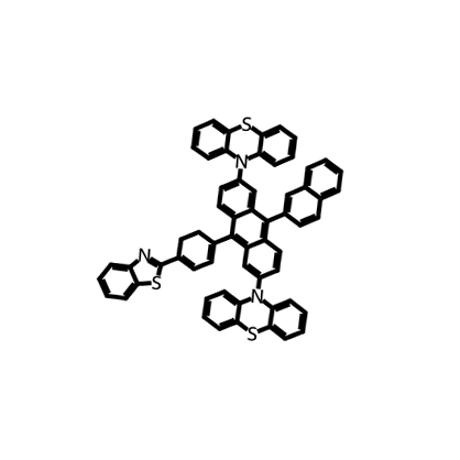 C1=C(c2nc3ccccc3s2)CCC(c2c3cc(N4c5ccccc5Sc5ccccc54)ccc3c(-c3ccc4ccccc4c3)c3cc(N4c5ccccc5Sc5ccccc54)ccc23)=C1